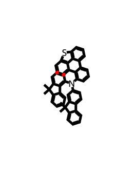 CC1(C)c2ccccc2-c2ccc(N(c3cccc4c3-c3ccccc3C4(C)C)c3cccc4c5cccc6sc7cccc(c34)c7c65)cc21